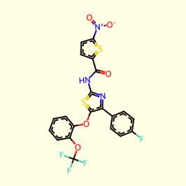 O=C(Nc1nc(-c2ccc(F)cc2)c(Oc2ccccc2OC(F)(F)F)s1)c1ccc([N+](=O)[O-])s1